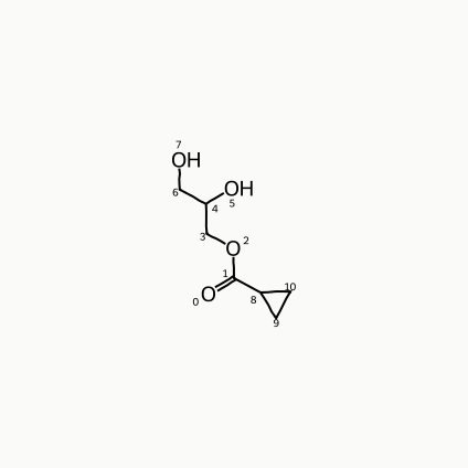 O=C(OCC(O)CO)C1CC1